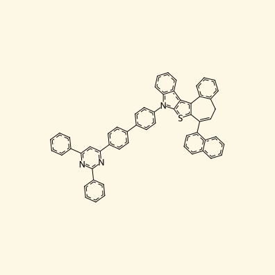 C1=C(c2cccc3ccccc23)c2sc3c(c2-c2ccccc2C1)c1ccccc1n3-c1ccc(-c2ccc(-c3cc(-c4ccccc4)nc(-c4ccccc4)n3)cc2)cc1